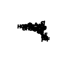 O=C(Oc1cccc(CON(O)O)c1)N1CCC(c2ccc(OCCOc3c(F)cc(F)cc3F)cc2)=C(C(=O)N(Cc2cc3c(cc2Cl)OCO3)C2CC2)C1